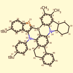 Cc1cc2c3c(c1C)C1CCCCC1N3c1cc3c(c4c1B2c1sc2ccc(C(C)(C)C)cc2c1N4c1ccc(C(C)(C)C)cc1)CCc1ccccc1-3